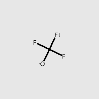 CCC([O])(F)F